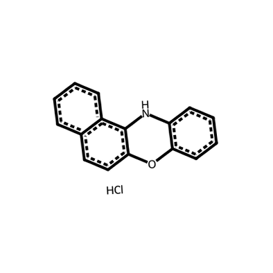 Cl.c1ccc2c(c1)Nc1c(ccc3ccccc13)O2